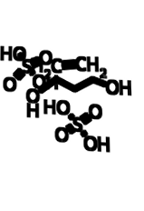 C=C.O=S(=O)(O)O.O=S(=O)(O)O.OCCCO